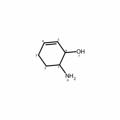 NC1CCC=CC1O